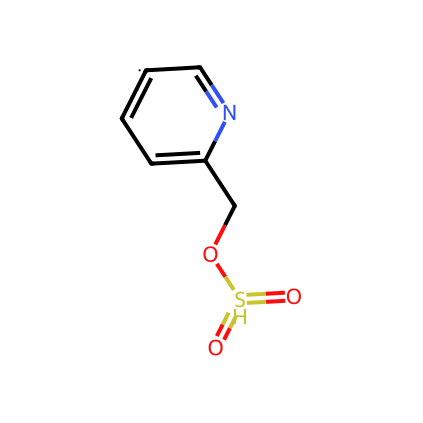 O=[SH](=O)OCc1cc[c]cn1